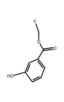 O=C(OCF)c1cccc(O)c1